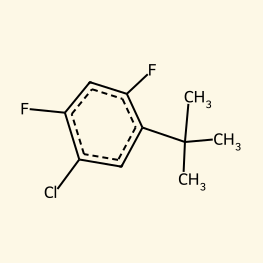 CC(C)(C)c1cc(Cl)c(F)cc1F